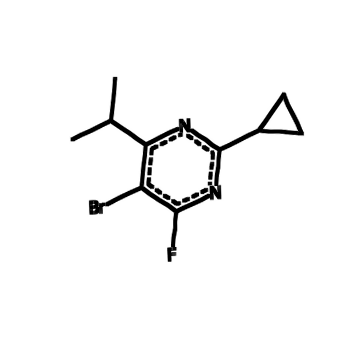 CC(C)c1nc(C2CC2)nc(F)c1Br